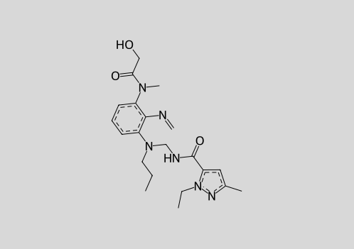 C=Nc1c(N(CCC)CNC(=O)c2cc(C)nn2CC)cccc1N(C)C(=O)CO